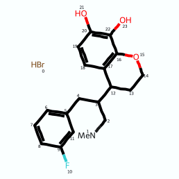 Br.CNCC(Cc1cccc(F)c1)C1CCOc2c1ccc(O)c2O